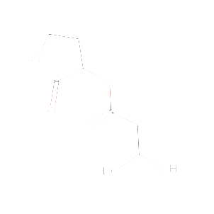 CC(C)CC(=O)OC1CCOC1=O